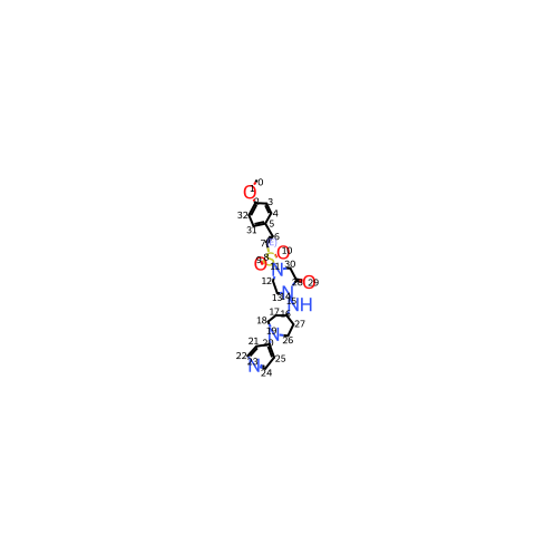 COc1ccc(/C=C/S(=O)(=O)N2CCN(NC3CCN(c4ccncc4)CC3)C(=O)C2)cc1